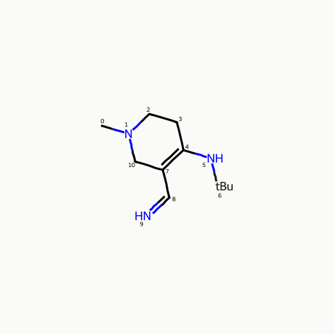 CN1CCC(NC(C)(C)C)=C(C=N)C1